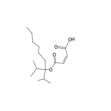 CCCCCCC(OC(=O)/C=C\C(=O)O)(C(C)C)C(C)C